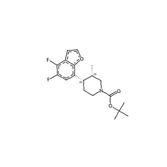 C[C@@H]1CN(C(=O)OC(C)(C)C)CC[C@@H]1c1cc(F)c(F)c2ccoc12